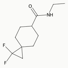 CCNC(=O)C1CCC2(CC1)CC2(F)F